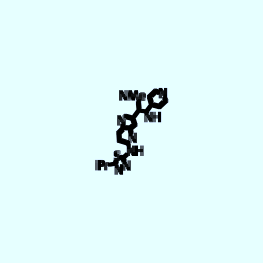 CN/C=C(\C(=N)c1ccncc1)c1cnc2ccc(Nc3nnc(C(C)C)s3)nc2c1